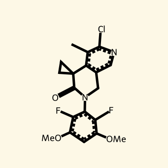 COc1cc(OC)c(F)c(N2Cc3cnc(Cl)c(C)c3C3(CC3)C2=O)c1F